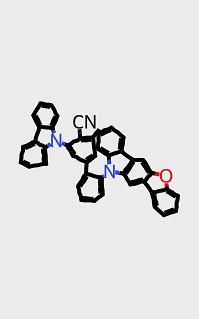 Cc1cc(-c2ccccc2-n2c3ccccc3c3cc4oc5ccccc5c4cc32)cc(-n2c3ccccc3c3ccccc32)c1C#N